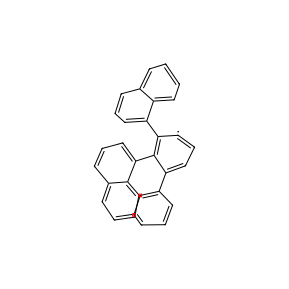 [c]1ccc(-c2ccccc2)c(-c2cccc3ccccc23)c1-c1cccc2ccccc12